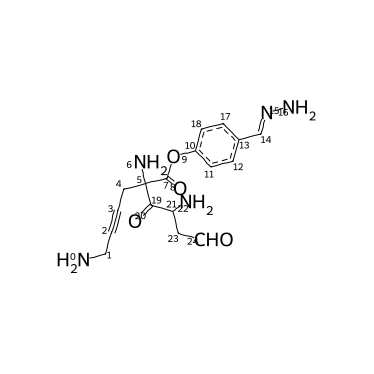 NCC#CCC(N)(C(=O)Oc1ccc(C=NN)cc1)C(=O)C(N)CC=O